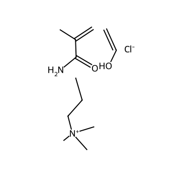 C=C(C)C(N)=O.C=CO.CCC[N+](C)(C)C.[Cl-]